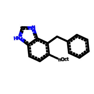 CCCCCCCCc1ccc2[nH][c]nc2c1Cc1ccccc1